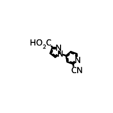 N#Cc1cc(-n2ccc(C(=O)O)n2)ccn1